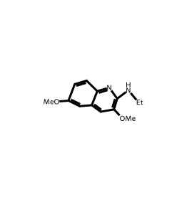 CCNc1nc2ccc(OC)cc2cc1OC